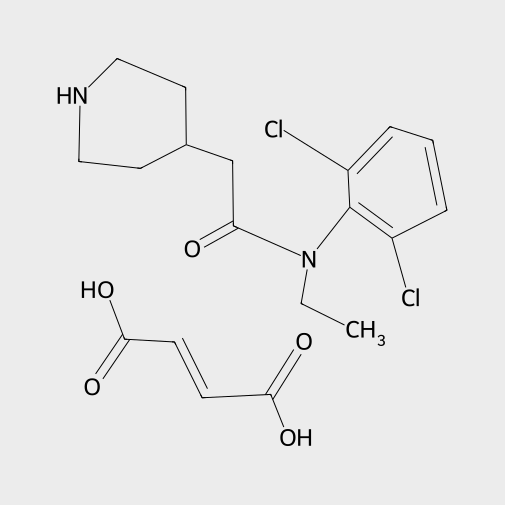 CCN(C(=O)CC1CCNCC1)c1c(Cl)cccc1Cl.O=C(O)/C=C/C(=O)O